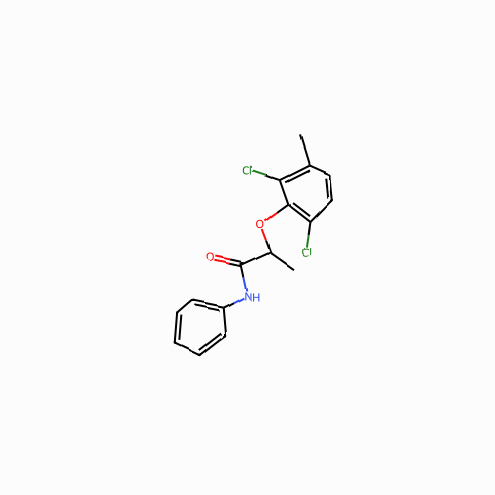 Cc1ccc(Cl)c(OC(C)C(=O)Nc2ccccc2)c1Cl